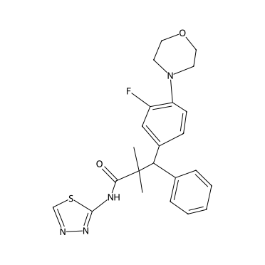 CC(C)(C(=O)Nc1nncs1)C(c1ccccc1)c1ccc(N2CCOCC2)c(F)c1